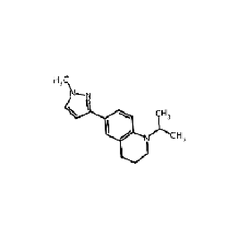 CC(C)N1CCCc2cc(-c3ccn(C)n3)ccc21